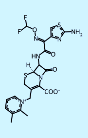 Cc1ccc[n+](CC2=C(C(=O)[O-])N3C(=O)C(NC(=O)C(=NOC(F)F)c4csc(N)n4)[C@@H]3SC2)c1C